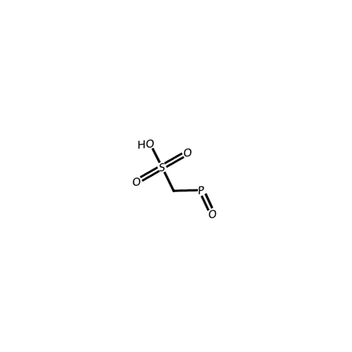 O=PCS(=O)(=O)O